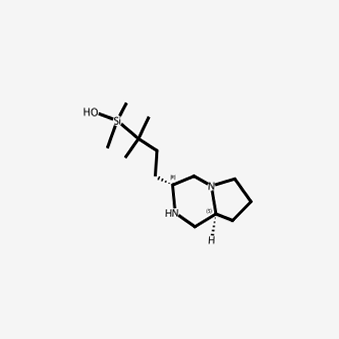 CC(C)(CC[C@@H]1CN2CCC[C@H]2CN1)[Si](C)(C)O